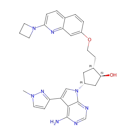 Cn1ccc(-c2cn([C@@H]3C[C@H](CCOc4ccc5ccc(N6CCC6)nc5c4)[C@@H](O)C3)c3ncnc(N)c23)n1